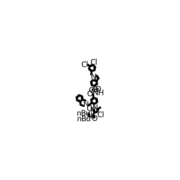 CCCCN(CCCC)C(=O)c1nn(-c2ccc(C(=O)NS(=O)(=O)c3ccc4c(ccn4Cc4ccc(Cl)c(Cl)c4)c3)cc2C(=O)N2CCc3ccccc3C2)c(C)c1Cl